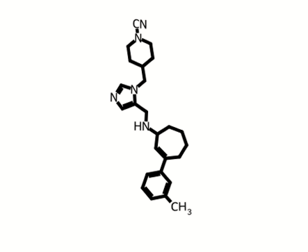 Cc1cccc(C2=CC(NCc3cncn3CC3CCN(C#N)CC3)CCCC2)c1